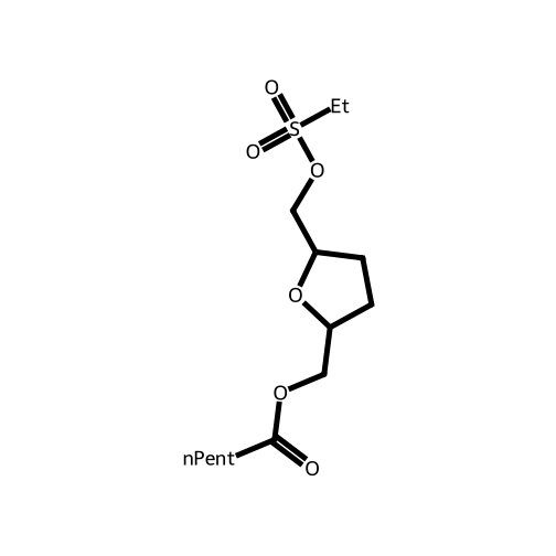 CCCCCC(=O)OCC1CCC(COS(=O)(=O)CC)O1